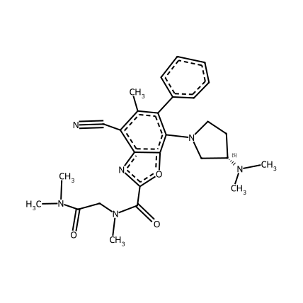 Cc1c(-c2ccccc2)c(N2CC[C@H](N(C)C)C2)c2oc(C(=O)N(C)CC(=O)N(C)C)nc2c1C#N